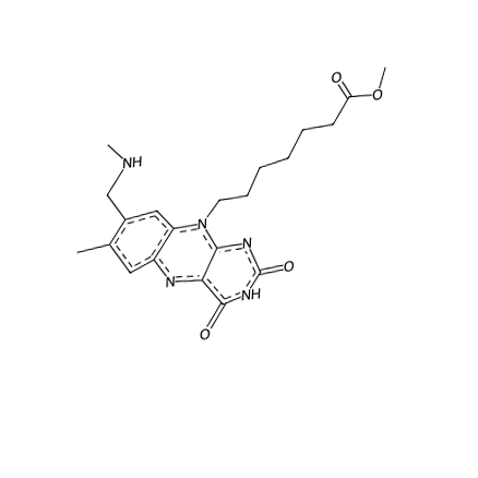 CNCc1cc2c(cc1C)nc1c(=O)[nH]c(=O)nc-1n2CCCCCCC(=O)OC